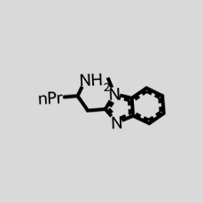 CCCC(N)Cc1nc2ccccc2n1C